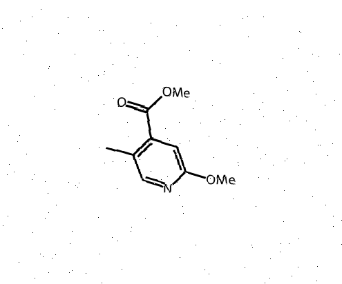 COC(=O)c1cc(OC)ncc1C